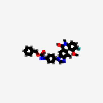 COc1cc(N(C)C(=O)c2cc(C)c3ncn(-c4ccc(NC(=O)OCc5ccccc5)cc4)c3c2)ccc1F